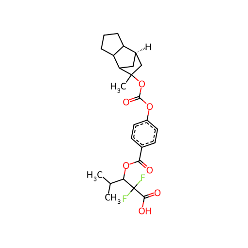 CC(C)C(OC(=O)c1ccc(OC(=O)OC2(C)C[C@H]3CC2C2CCCC23)cc1)C(F)(F)C(=O)O